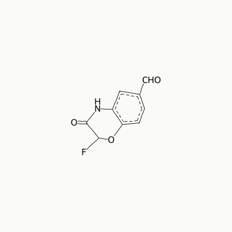 O=Cc1ccc2c(c1)NC(=O)C(F)O2